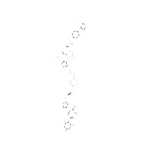 Cc1ncsc1-c1ccc([C@H](C)NC(=O)[C@@H]2C[C@@H](O)CN2C(=O)[C@@H](c2cc(OCCN3CCN(CC#CCn4cc(/C(=C/C(=N)c5ccccc5O)C(=N)N)cn4)CC3)no2)C(C)C)cc1